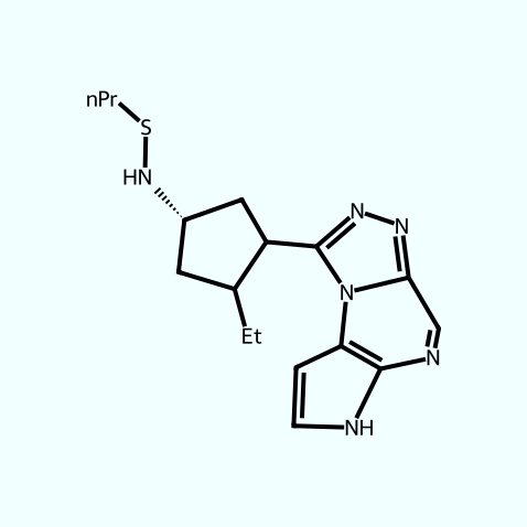 CCCSN[C@H]1CC(CC)C(c2nnc3cnc4[nH]ccc4n23)C1